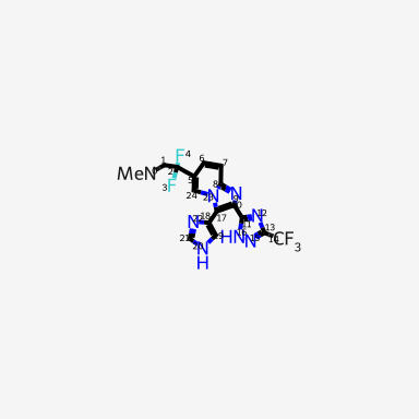 CNCC(F)(F)c1ccc2nc(-c3nc(C(F)(F)F)n[nH]3)c(-c3c[nH]cn3)n2c1